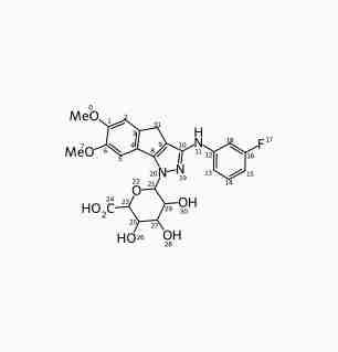 COc1cc2c(cc1OC)-c1c(c(Nc3cccc(F)c3)nn1C1OC(C(=O)O)C(O)C(O)C1O)C2